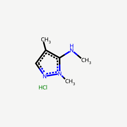 CNc1c(C)cnn1C.Cl